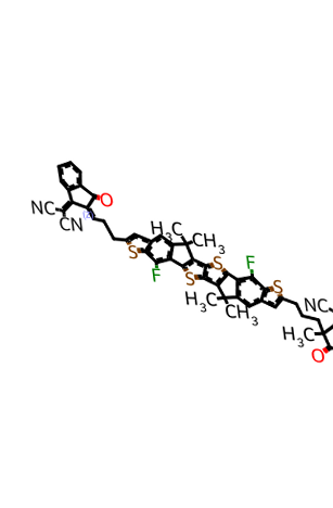 CC1(CCCc2cc3cc4c(c(F)c3s2)-c2sc3c5c(sc3c2C4(C)C)-c2c(cc3cc(CC/C=C4\C(=O)c6ccccc6C4=C(C#N)C#N)sc3c2F)C5(C)C)C(=O)c2ccccc2C1=C(C#N)C#N